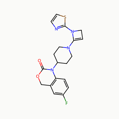 O=C1OCc2cc(F)ccc2N1C1CCN(C2=CCN2c2nccs2)CC1